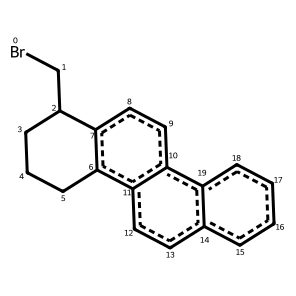 BrCC1CCCc2c1ccc1c2ccc2ccccc21